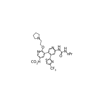 CCCNC(=O)Nc1cc(-c2nc(C(F)(F)F)cs2)c(-c2cc(C(=O)O)cnc2OCCN2CCCC2)cn1